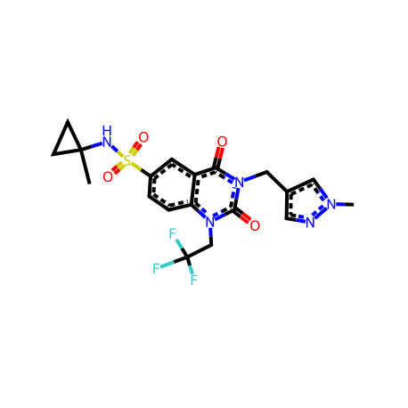 Cn1cc(Cn2c(=O)c3cc(S(=O)(=O)NC4(C)CC4)ccc3n(CC(F)(F)F)c2=O)cn1